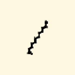 C=CC=CC=CCCCC=CCC